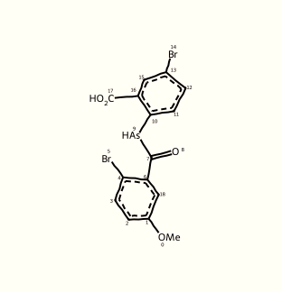 COc1ccc(Br)c(C(=O)[AsH]c2ccc(Br)cc2C(=O)O)c1